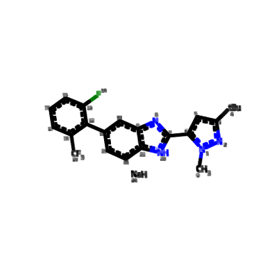 Cn1nc(C(C)(C)C)cc1-c1nc2cc(-c3c(F)cccc3C(F)(F)F)ccc2[nH]1.[NaH]